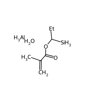 C=C(C)C(=O)OC([SiH3])CC.O.[AlH3]